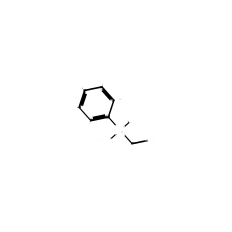 [Li][CH2][Si](C)(C)c1ccccc1